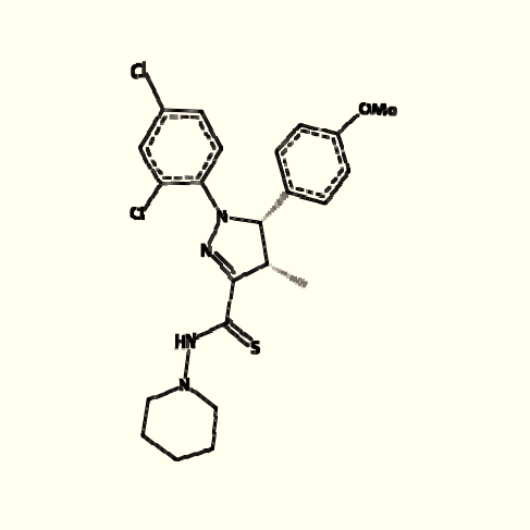 COc1ccc([C@@H]2[C@H](C)C(C(=S)NN3CCCCC3)=NN2c2ccc(Cl)cc2Cl)cc1